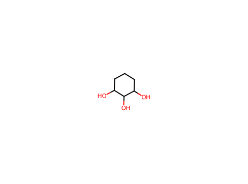 OC1[CH]CCC(O)C1O